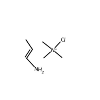 CC=CN.C[N+](C)(C)Cl